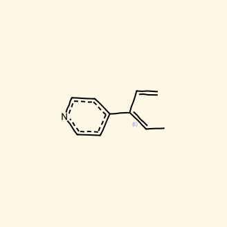 C=C/C(=C\C)c1ccncc1